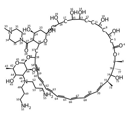 C[C@@H]1OC(=O)CC(O)CC(O)CCC(O)C(O)CC(O)CC2(O)C[C@H](O)C(C(=O)N3CCN(C)CC3)C(CC(O[C@@H]3O[C@H](C)C(O)C(N(CCCN)CCCN)[C@@H]3O)/C=C/C=C/C=C/C=C/C=C/C=C/C=C/[C@H](C)C(O)[C@H]1C)O2